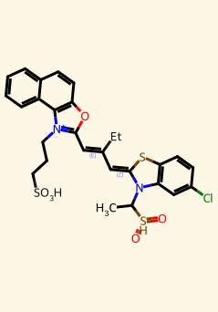 CCC(/C=C1\Sc2ccc(Cl)cc2N1C(C)[SH](=O)=O)=C\c1oc2ccc3ccccc3c2[n+]1CCCS(=O)(=O)O